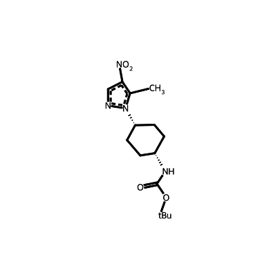 Cc1c([N+](=O)[O-])cnn1[C@H]1CC[C@@H](NC(=O)OC(C)(C)C)CC1